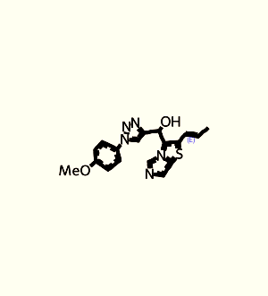 C/C=C/c1sc2cncn2c1C(O)c1cn(-c2ccc(OC)cc2)nn1